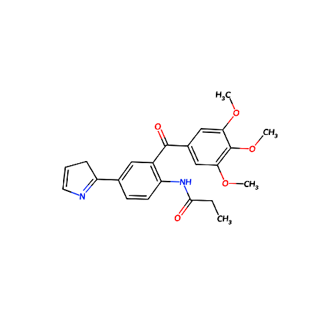 CCC(=O)Nc1ccc(C2=NC=CC2)cc1C(=O)c1cc(OC)c(OC)c(OC)c1